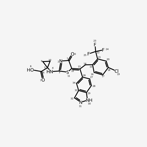 O=C1N=C(NC2(C(=O)O)CC2)SC1=C(Cc1ccc(Cl)cc1C(F)(F)F)c1ccc2[nH]ncc2c1